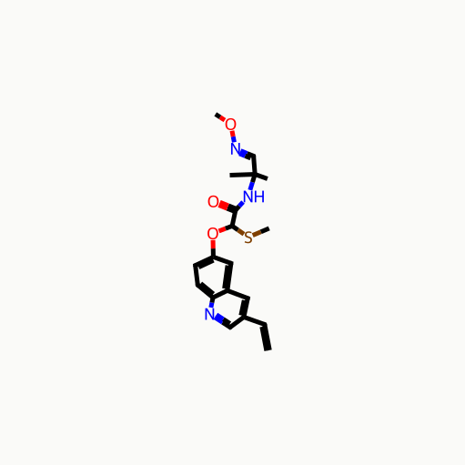 C=Cc1cnc2ccc(OC(SC)C(=O)NC(C)(C)C=NOC)cc2c1